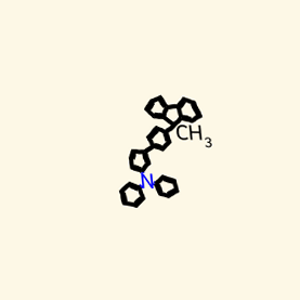 CC1(c2ccc(-c3cccc(N(c4ccccc4)c4ccccc4)c3)cc2)c2ccccc2-c2ccccc21